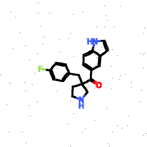 O=C(c1ccc2[nH]ccc2c1)C1(Cc2ccc(F)cc2)CCNC1